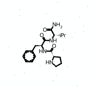 CC(C)[C@H](NC(=O)[C@H](Cc1ccccc1)NC(=O)[C@@H]1CCCN1)C(N)=O